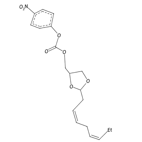 CC/C=C\C/C=C\CC1OCC(COC(=O)Oc2ccc([N+](=O)[O-])cc2)O1